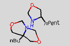 CCCCC12COCN1COC2.CCCCCC1COCN1